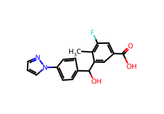 Cc1c(F)cc(C(=O)O)cc1C(O)c1ccc(-n2cccn2)cc1